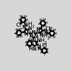 N=C(C(/N=N/c1ccccc1Cl)=C(/N)Nc1nc(-n2nc(-c3ccccc3)c(/N=N/c3ccccc3Cl)c2N)nc(-n2nc(-c3ccccc3)c(/N=N/c3ccccc3Cl)c2N)n1)c1ccccc1